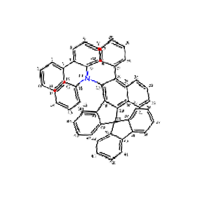 c1ccc(-c2ccccc2N(c2ccccc2)c2c3c(c4ccccc4c2-c2ccccc2)C2(c4ccccc4-c4ccccc42)c2ccccc2-3)cc1